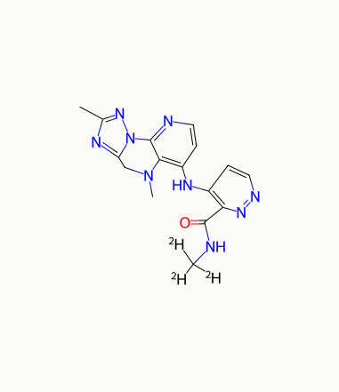 [2H]C([2H])([2H])NC(=O)c1nnccc1Nc1ccnc2c1N(C)Cc1nc(C)nn1-2